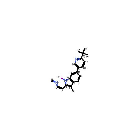 C=N/C=C\c1c(C)c2ccc(-c3ccc(C(C)(C)C)nc3)cc2n1I